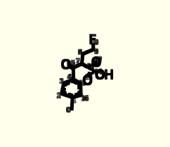 Cc1ccc(C(=O)C(CCF)S(=O)(=O)O)cc1